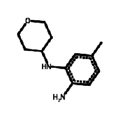 Cc1ccc(N)c(NC2CCOCC2)c1